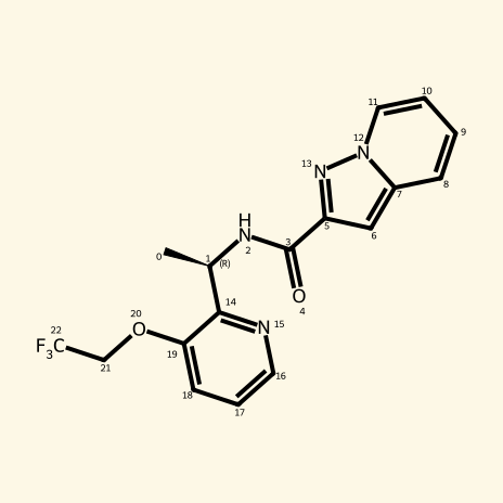 C[C@@H](NC(=O)c1cc2ccccn2n1)c1ncccc1OCC(F)(F)F